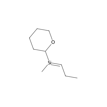 CCC=[Si](C)C1CCCCO1